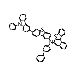 c1ccc(-c2ccc(N(c3ccc4sc5cc(-c6ccc7c(c6)c6ccccc6n7-c6ccccc6)ccc5c4c3)c3cc4ccccc4c4c3sc3ccccc34)cc2)cc1